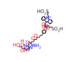 Nc1nc2ncc([C@H](O)[C@H](O)CO)nc2c(=O)n1CCC(=O)CC(=O)CCCc1ccc(S(=O)(=O)N(CCCS(=O)(=O)O)C(=O)c2c3ccccc3[n+](CCCS(=O)(=O)O)c3ccccc23)cc1